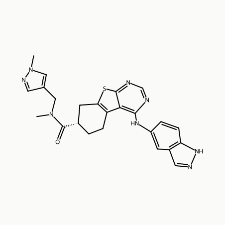 CN(Cc1cnn(C)c1)C(=O)[C@H]1CCc2c(sc3ncnc(Nc4ccc5[nH]ncc5c4)c23)C1